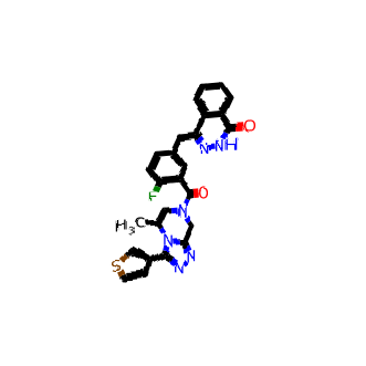 CC1CN(C(=O)c2cc(Cc3n[nH]c(=O)c4ccccc34)ccc2F)Cc2nnc(-c3ccsc3)n21